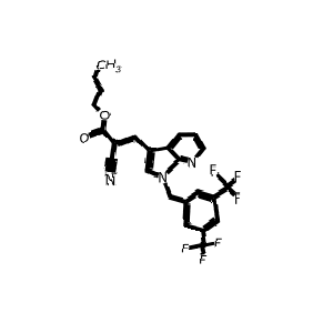 CCCCOC(=O)/C(C#N)=C/c1cn(Cc2cc(C(F)(F)F)cc(C(F)(F)F)c2)c2ncccc12